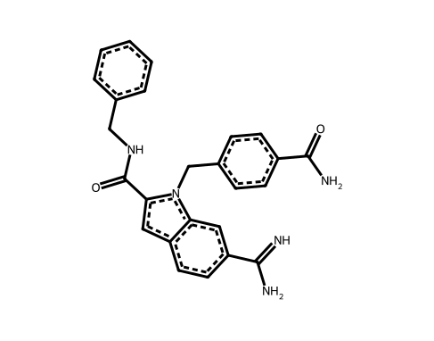 N=C(N)c1ccc2cc(C(=O)NCc3ccccc3)n(Cc3ccc(C(N)=O)cc3)c2c1